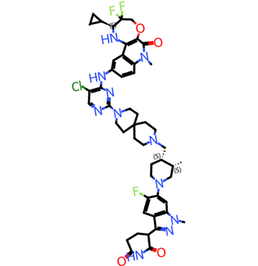 C[C@@H]1CN(c2cc3c(cc2F)c(C2CCC(=O)NC2=O)nn3C)CC[C@@H]1CN1CCC2(CC1)CCN(c1ncc(Cl)c(Nc3ccc4c(c3)c3c(c(=O)n4C)OCC(F)(F)[C@H](C4CC4)N3)n1)CC2